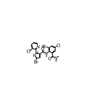 CN(C)C(=O)c1cc(Cl)cc(Br)c1N(C)C(=O)c1cc(Br)nn1-c1ncccc1Cl